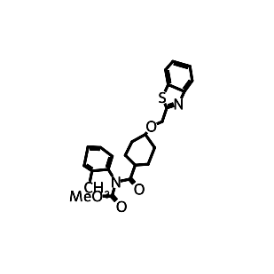 COC(=O)N(C(=O)C1CCC(OCc2nc3ccccc3s2)CC1)c1ccccc1C